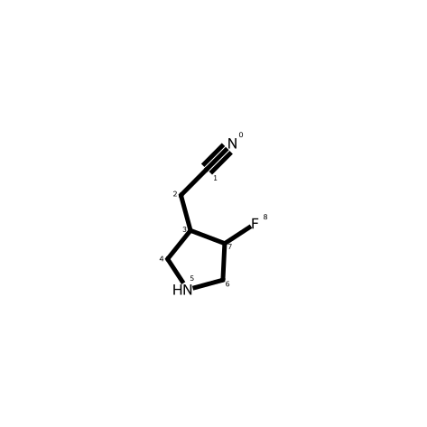 N#CCC1CNCC1F